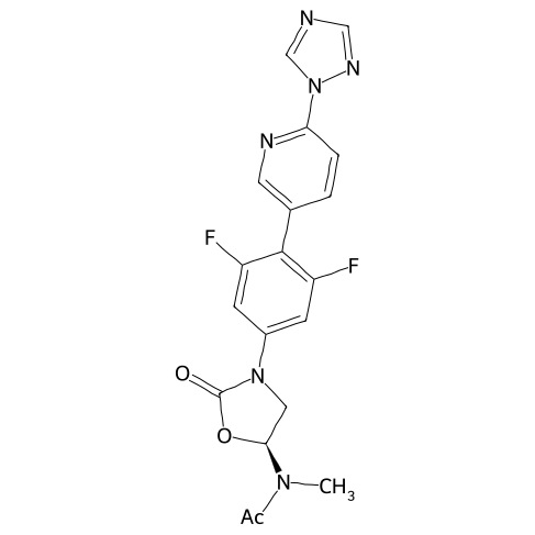 CC(=O)N(C)[C@@H]1CN(c2cc(F)c(-c3ccc(-n4cncn4)nc3)c(F)c2)C(=O)O1